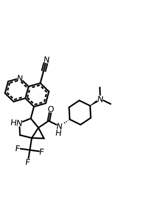 CN(C)[C@H]1CC[C@H](NC(=O)C23CC2(C(F)(F)F)CNC3c2ccc(C#N)c3ncccc23)CC1